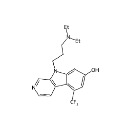 CCN(CC)CCCn1c2cnccc2c2c(C(F)(F)F)cc(O)cc21